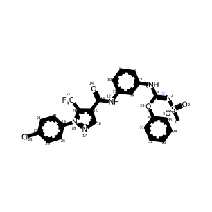 CS(=O)(=O)/N=C(/Nc1cccc(NC(=O)c2cnn(-c3ccc(Cl)cc3)c2C(F)(F)F)c1)Oc1ccccc1